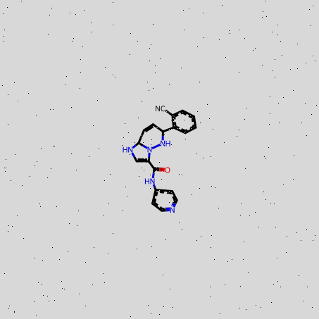 N#Cc1ccccc1C1C=CC2NC=C(C(=O)Nc3ccncc3)N2N1